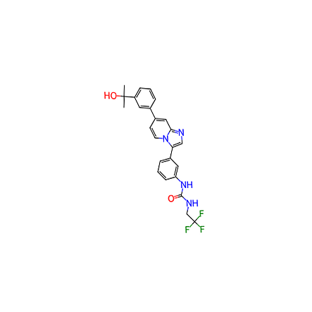 CC(C)(O)c1cccc(-c2ccn3c(-c4cccc(NC(=O)NCC(F)(F)F)c4)cnc3c2)c1